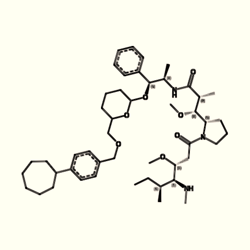 CC[C@H](C)[C@H](NC)[C@@H](CC(=O)N1CCC[C@H]1[C@H](OC)[C@@H](C)C(=O)N[C@H](C)[C@@H](OC1CCCC(COCc2ccc(C3CCCCCC3)cc2)O1)c1ccccc1)OC